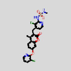 CNS(=O)(=O)Nc1nccc(Cc2c(C)c3ccc(Oc4ncccc4F)cc3oc2=O)c1F